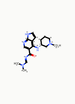 CN(C)/C=N/C(=O)c1cnc2[nH]ccc2c1N[C@@H]1CCCN(C(=O)O)C1